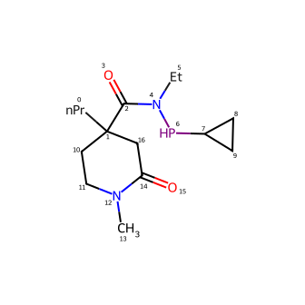 CCCC1(C(=O)N(CC)PC2CC2)CCN(C)C(=O)C1